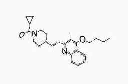 CCCCOc1c(C)c(/C=C/C2CCN(C(=O)C3CC3)CC2)nc2ccccc12